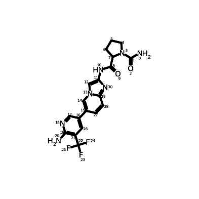 NC(=O)N1CCCC1C(=O)Nc1cn2cc(-c3cnc(N)c(C(F)(F)F)c3)ccc2n1